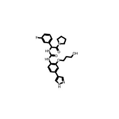 O=C(Nc1ccc(-c2cn[nH]c2)cc1OCCCO)NC(C(=O)N1CCCC1)c1cccc(F)c1